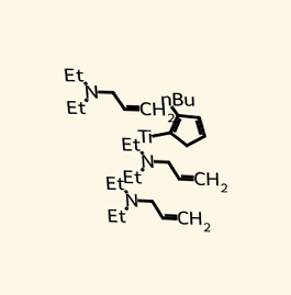 C=CCN(CC)CC.C=CCN(CC)CC.C=CCN(CC)CC.CCCCC1=[C]([Ti])CC=C1